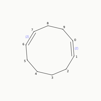 C1=C\CCCC/C=C\CC/1